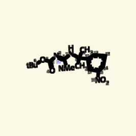 CN/C(=N\C(=O)OC(C)(C)C)NC(C)(C)c1cccc([N+](=O)[O-])c1